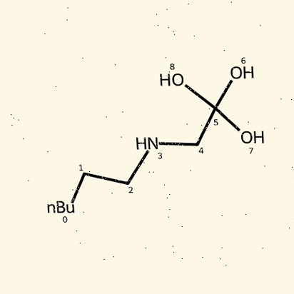 CCCCCCNCC(O)(O)O